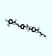 CCOC(=O)CNC(=O)c1ccc(C(=O)NS(=O)(=O)c2ccc(CCNC(=O)c3ccc(OC)c(OC)c3)cc2)cn1